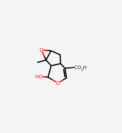 CC12OC1CC1C(C(=O)O)=COC(O)C12